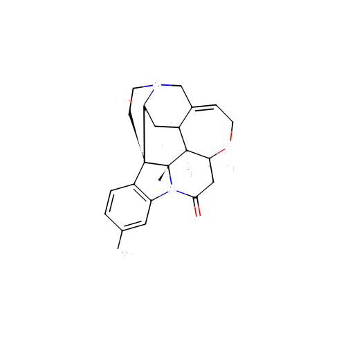 COc1ccc2c(c1)N1C(=O)C[C@@H]3OCC=C4CN5CC[C@@]26[C@@H]1[C@H]3[C@H]4C[C@]56O